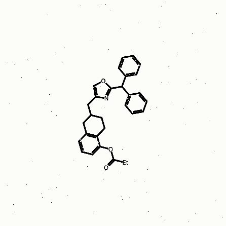 CCC(=O)Oc1cccc2c1CCC(Cc1coc(C(c3ccccc3)c3ccccc3)n1)C2